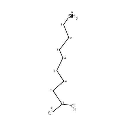 [SiH3]CCCCCCCC(Cl)Cl